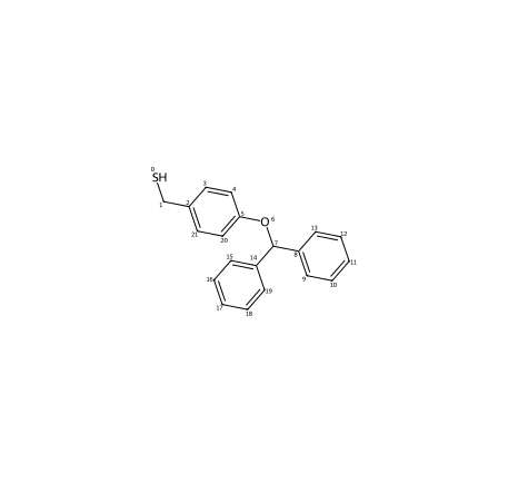 SCc1ccc(OC(c2ccccc2)c2ccccc2)cc1